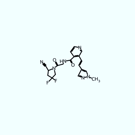 Cn1cc(/C=C/c2cnccc2C(=O)NCC(=O)N2CC(F)(F)CC2C#N)cn1